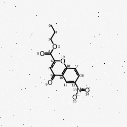 CCCOC(=O)c1cc(=O)c2cc([N+](=O)[O-])ccc2o1